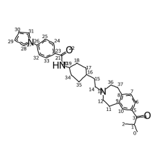 CC(C)C(=O)c1ccc2c(c1)CCN(CCC1CCC(NC(=O)c3ccc(-n4cccc4)cc3)CC1)CC2